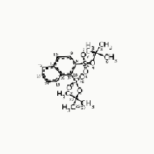 CC(C)(C)OS(=O)(=O)c1ccc2ccccc2c1S(=O)(=O)OC(C)(C)C